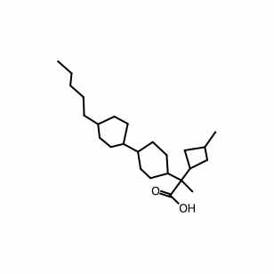 CCCCCC1CCC(C2CCC(C(C)(C(=O)O)C3CC(C)C3)CC2)CC1